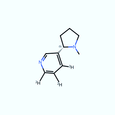 [2H]c1ncc([C@@H]2CCCN2C)c([2H])c1[2H]